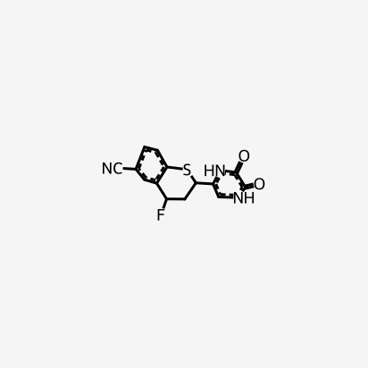 N#Cc1ccc2c(c1)C(F)CC(c1c[nH]c(=O)c(=O)[nH]1)S2